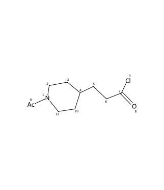 CC(=O)N1CCC(CCC(=O)Cl)CC1